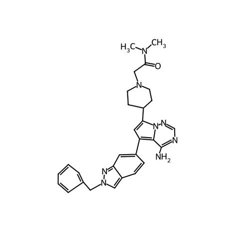 CN(C)C(=O)CN1CCC(c2cc(-c3ccc4cn(Cc5ccccc5)nc4c3)c3c(N)ncnn23)CC1